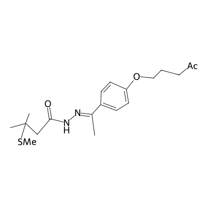 CSC(C)(C)CC(=O)N/N=C(\C)c1ccc(OCCCC(C)=O)cc1